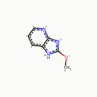 COc1nc2ncccc2[nH]1